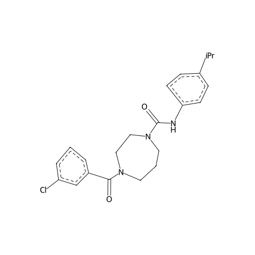 CC(C)c1ccc(NC(=O)N2CCCN(C(=O)c3cccc(Cl)c3)CC2)cc1